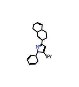 CC(C)C1=CC(C2CCC3C=CCCC3C2)=NC1C1C=CC=CC1